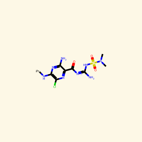 CC(C)Nc1nc(N)c(C(=O)/N=C(/N)NS(=O)(=O)N(C)C)nc1Cl